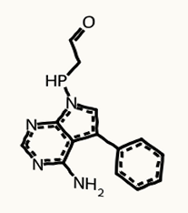 Nc1ncnc2c1c(-c1ccccc1)cn2PCC=O